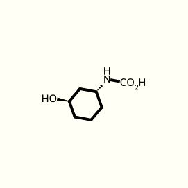 O=C(O)N[C@@H]1CCC[C@@H](O)C1